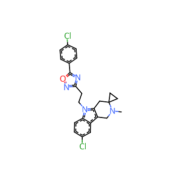 CN1Cc2c(n(CCc3noc(-c4ccc(Cl)cc4)n3)c3ccc(Cl)cc23)CC12CC2